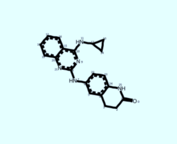 O=C1CCc2cc(Nc3nc(NC4CC4)c4ccccc4n3)ccc2N1